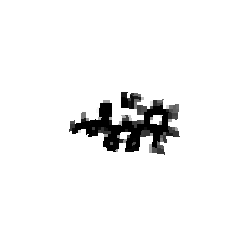 CCOC(=O)C([O-])=CC(=O)c1ccccc1C.[Li+]